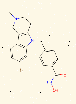 CN1CCc2c(c3ccc(Br)cc3n2Cc2ccc(C(=O)NO)cc2)C1